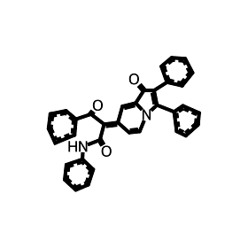 O=C(Nc1ccccc1)C(C(=O)c1ccccc1)=C1C=CN2C(=C1)C(=O)C(c1ccccc1)=C2c1ccccc1